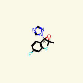 CC1(C)O[C@@]1(c1ccc(F)cc1F)n1cncn1